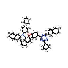 c1ccc(-c2ccc(N(c3ccc4ccccc4c3)c3c4ccccc4cc4c3oc3ccc(-c5nc(-c6ccccc6)nc(-c6ccc7ccccc7c6)n5)cc34)cc2)cc1